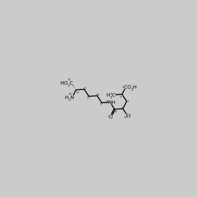 CCC(CC(C)C(=O)O)C(=O)NCCCC[C@H](N)C(=O)O